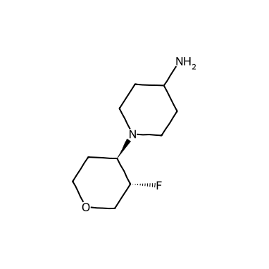 NC1CCN([C@@H]2CCOC[C@H]2F)CC1